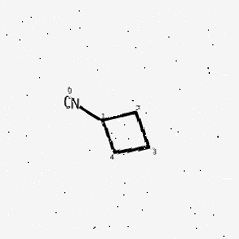 [C-]#[N+]C1CCC1